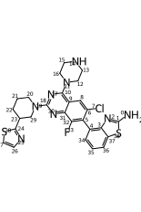 Nc1nc2c(-c3c(Cl)cc4c(N5CCNCC5)nc(N5CCCC(c6nccs6)C5)nc4c3F)cccc2s1